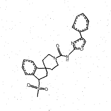 CS(=O)(=O)C1CC2(CCN(C(=O)Nc3nc(-c4ccccc4)co3)CC2)c2ccccc21